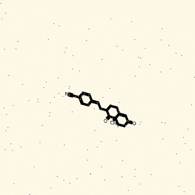 CC12CCC(=O)C=C1CCC(CC=C1C=CC(C#N)=CC1)C2=O